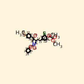 CCOC(=O)C(C)(C)Oc1ccc(CCC2CN(C(=O)Oc3ccccc3)CC2C(=O)c2ccc(SC)cc2)cc1F